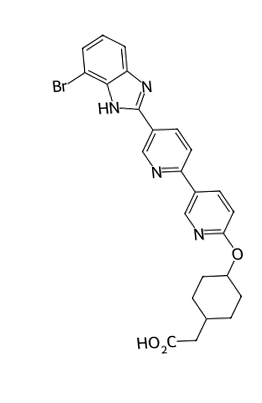 O=C(O)CC1CCC(Oc2ccc(-c3ccc(-c4nc5cccc(Br)c5[nH]4)cn3)cn2)CC1